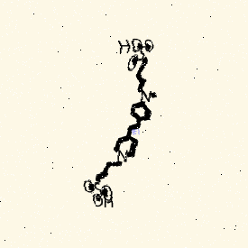 CN(CCCCS(=O)(=O)O)c1ccc(/C=C/C2=CCN(CCCCS(=O)(=O)O)C=C2)cc1